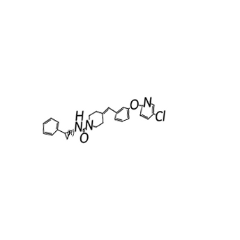 O=C(N[C@@H]1CC1c1ccccc1)N1CCC(=Cc2cccc(Oc3ccc(Cl)cn3)c2)CC1